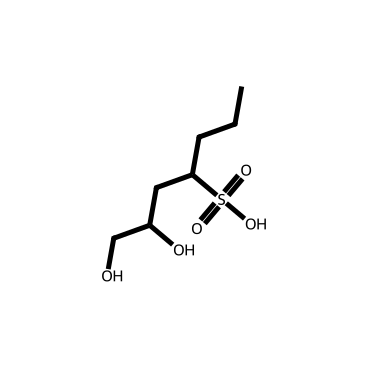 CCCC(CC(O)CO)S(=O)(=O)O